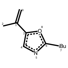 C=C(C)c1cnc(C(C)CC)o1